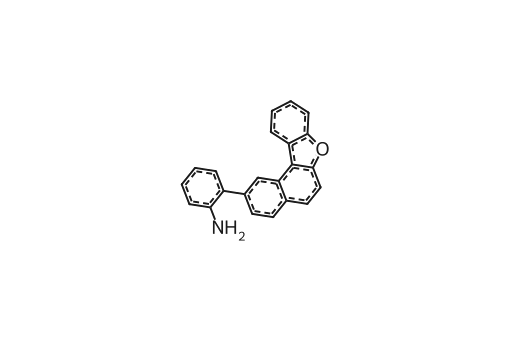 Nc1ccccc1-c1ccc2ccc3oc4ccccc4c3c2c1